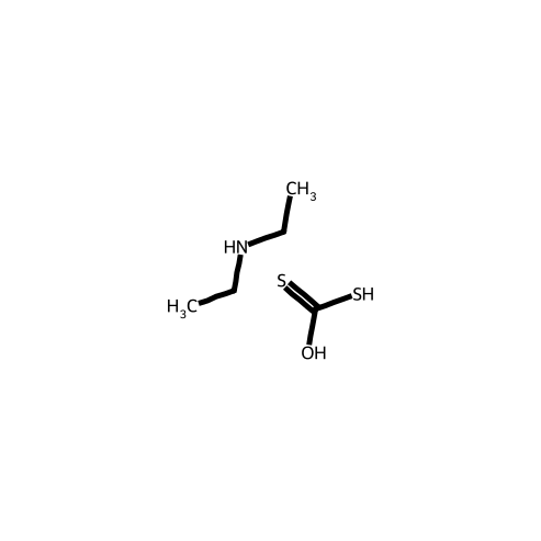 CCNCC.OC(=S)S